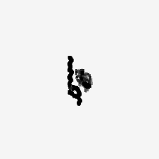 CCCCCCCCCN1CCC(CC)CC1.O=S(=O)(O)C(F)(F)F